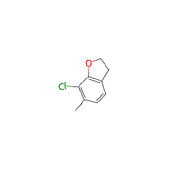 Cc1ccc2c(c1Cl)OCC2